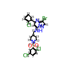 O=S(=O)(c1cc(Cl)ccc1Cl)N1CCC(CNc2cc(-c3ccccc3Cl)nc3c(Br)cnn23)CC1